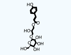 O=C(/C=C/c1ccc(O)cc1)OC[C@@H](O)CO[C@@H]1O[C@H](CO)[C@@H](O)[C@H](O)[C@H]1O